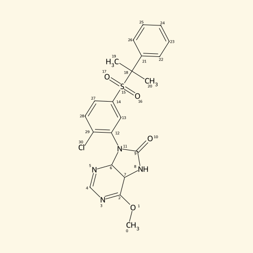 COC1=NC=NC2C1NC(=O)N2c1cc(S(=O)(=O)C(C)(C)c2ccccc2)ccc1Cl